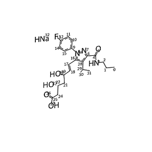 CCCNC(=O)c1nn(-c2ccc(F)cc2)c(C=C[C@H](O)C[C@@H](O)CC(=O)O)c1C(C)C.[NaH]